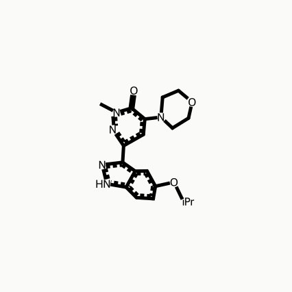 CC(C)Oc1ccc2[nH]nc(-c3cc(N4CCOCC4)c(=O)n(C)n3)c2c1